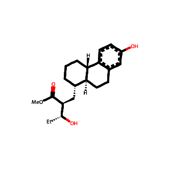 CC[C@@H](O)[C@H](C[C@@H]1CCC[C@@H]2c3ccc(O)cc3CC[C@@H]12)C(=O)OC